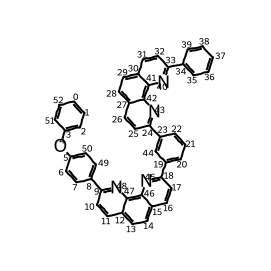 c1ccc(Oc2ccc(-c3ccc4ccc5ccc(-c6cccc(-c7ccc8ccc9ccc(-c%10ccccc%10)nc9c8n7)c6)nc5c4n3)cc2)cc1